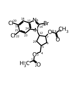 CC(=O)OCC1CC(OC(C)=O)C(n2c(Br)nc3cc(Cl)c(Cl)cc32)C1